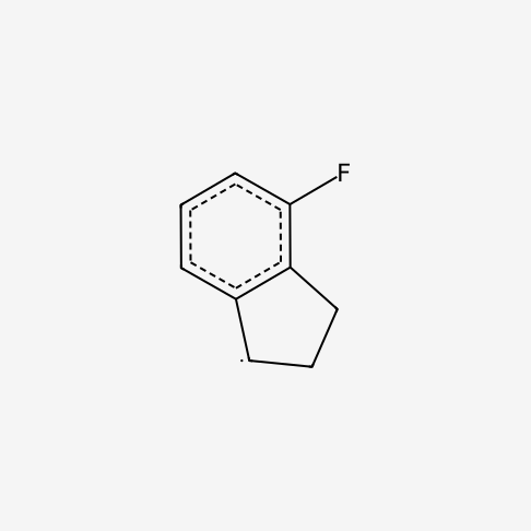 Fc1cccc2c1CC[CH]2